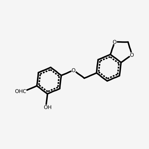 O=Cc1ccc(OCc2ccc3c(c2)OCO3)cc1O